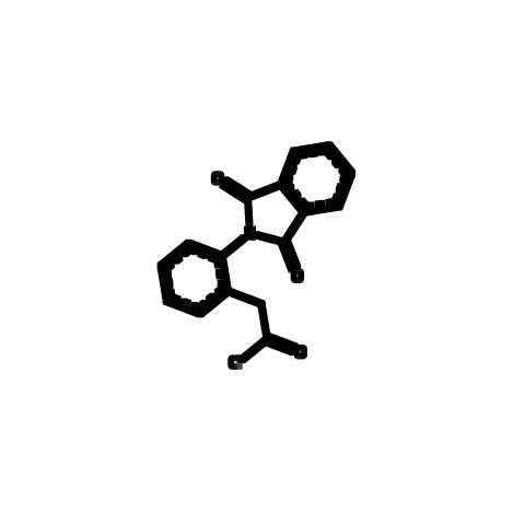 O=C(Cl)Cc1ccccc1N1C(=O)c2ccccc2C1=O